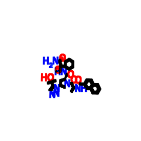 CC(NC(=O)c1ccc2ccccc2c1)C(=O)N1C[C@@H](n2nncc2C(C)(C)O)C[C@H]1C(=O)NC1(C(=O)C(N)=O)CCCCC1